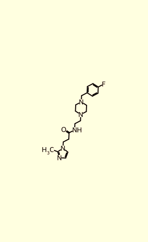 Cc1nccn1CCC(=O)NCCN1CCN(Cc2ccc(F)cc2)CC1